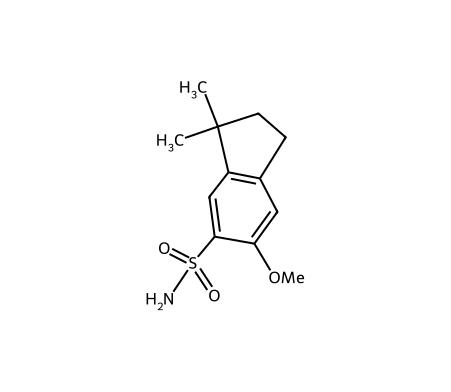 COc1cc2c(cc1S(N)(=O)=O)C(C)(C)CC2